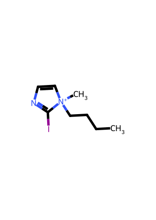 CCCC[N+]1(C)C=CN=C1I